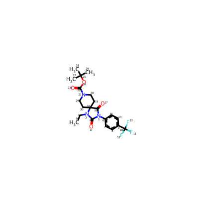 CCN1C(=O)N(c2ccc(C(F)(F)F)cc2)C(=O)C12CCN(C(=O)OC(C)(C)C)CC2